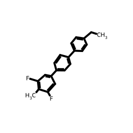 CCc1ccc(-c2ccc(-c3cc(F)c(C)c(F)c3)cc2)cc1